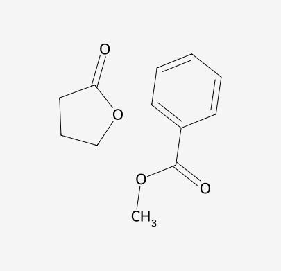 COC(=O)c1ccccc1.O=C1CCCO1